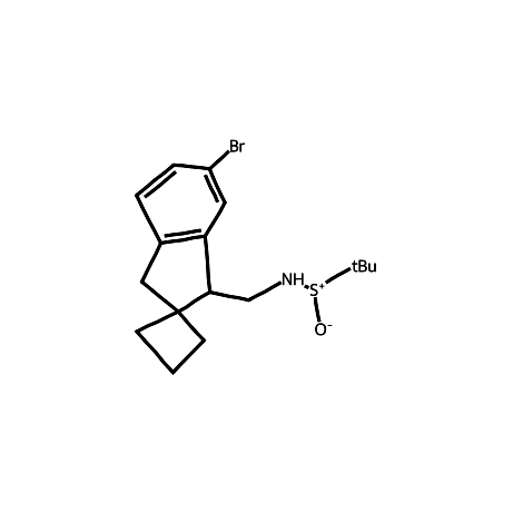 CC(C)(C)[S+]([O-])NCC1c2cc(Br)ccc2CC12CCC2